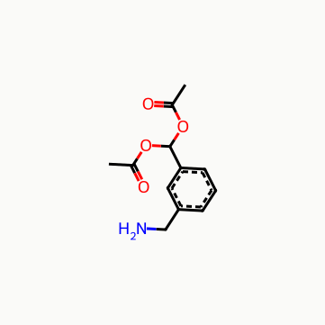 CC(=O)OC(OC(C)=O)c1cccc(CN)c1